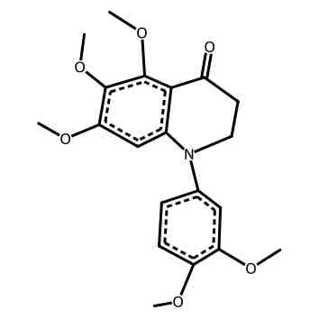 COc1ccc(N2CCC(=O)c3c2cc(OC)c(OC)c3OC)cc1OC